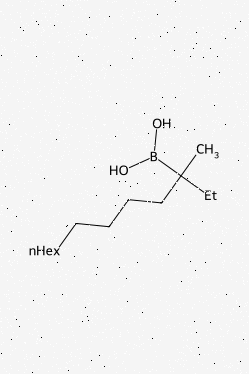 CCCCCCCCCCC(C)(CC)B(O)O